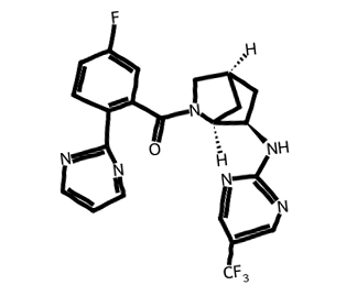 O=C(c1cc(F)ccc1-c1ncccn1)N1C[C@H]2C[C@@H](Nc3ncc(C(F)(F)F)cn3)[C@@H]1C2